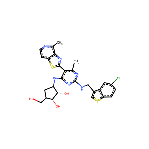 Cc1nc(NCc2csc3ccc(Cl)cc23)nc(N[C@@H]2C[C@H](CO)[C@@H](O)[C@H]2O)c1-c1nc2c(C)nccc2s1